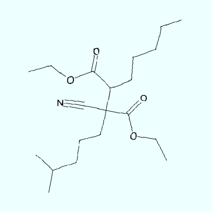 CCCCCC(C(=O)OCC)C(C#N)(CCCC(C)C)C(=O)OCC